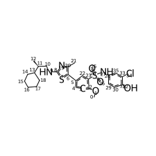 COc1ccc(-c2sc(NC[C@H](C)C3CCCCC3)nc2C)cc1S(=O)(=O)Nc1ccc(O)c(Cl)c1